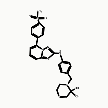 CS(=O)(=O)c1ccc(-c2cccc3nc(Nc4ccc(CN5CCSCC5(O)O)cc4)nn23)cc1